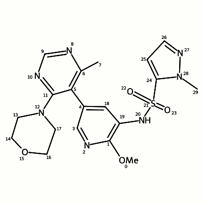 COc1ncc(-c2c(C)ncnc2N2CCOCC2)cc1NS(=O)(=O)c1ccnn1C